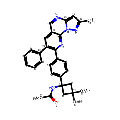 COC(=O)NC1(c2ccc(-c3nc4c(cnc5cc(C)nn54)cc3-c3ccccc3)cc2)CC(OC)(OC)C1